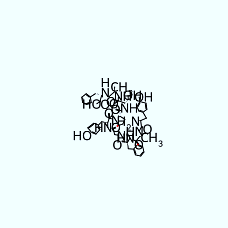 C[C@@H](NC(=O)[C@H](CO)NC(=O)[C@@H]1CCCN1C(=O)[C@H](Cc1ccc(O)cc1)NC(=O)CNC(=O)[C@H](Cc1ccccc1)NC(=O)[C@@H](C)NC(=O)[C@@H](N)Cc1ccc(O)cc1)C(=O)N[C@@H](Cc1ccccc1)C(=O)O